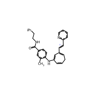 Cc1cc(C(=O)NCCC(C)C)ccc1NC1=CC(/C=C/c2ccccn2)=CCC=C1